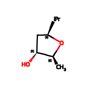 CC(C)[C@@H]1C[C@@H](O)[C@H](C)O1